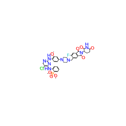 COc1cc(N2CCN(Cc3cc4c(cc3F)C(=O)N(C3CCC(=O)NC3=O)C4=O)CC2)ccc1Nc1ncc(Cl)c(Nc2ccccc2P(=O)(OC)OC)n1